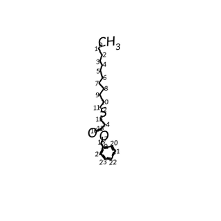 CCCCCCCCCCCCSCCC(=O)OCc1ccccc1